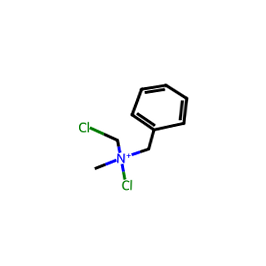 C[N+](Cl)(CCl)Cc1ccccc1